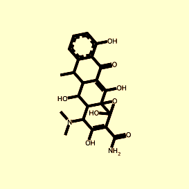 CC1c2cccc(O)c2C(=O)C2=C(O)C34OC3(O)C(C(N)=O)=C(O)C(N(C)C)C4C(O)C21